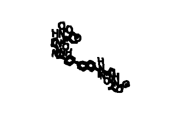 COC(=O)NC(C(=O)N1CCC[C@H]1c1ncc(-c2ccc3cc(-c4ccc(-c5cnc(C6CCCN6C(=O)[C@@H](NC(=O)OC)C6CCOCC6)[nH]5)cc4)ccc3c2)[nH]1)C(C)C